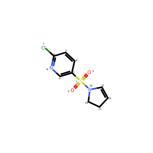 O=S(=O)(c1ccc(Cl)nc1)N1C=CCC1